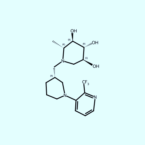 C[C@@H]1[C@@H](O)[C@H](O)[C@@H](O)CN1C[C@H]1CCCN(c2cccnc2C(F)(F)F)C1